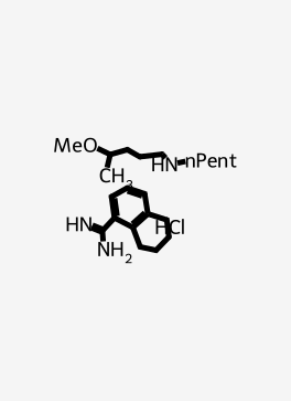 CCCCCNCCCC(C)OC.Cl.N=C(N)c1cccc2c1CCCC2